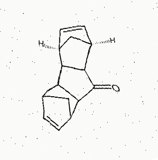 O=C1C2C3C=CC(C3)C2C2C1[C@@H]1C=C[C@H]2C1